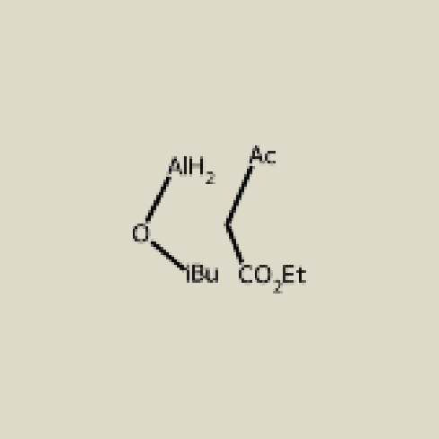 CCC(C)[O][AlH2].CCOC(=O)CC(C)=O